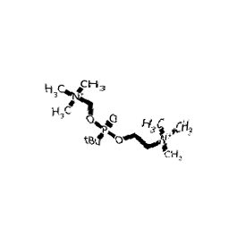 CC(C)(C)P(=O)(OCC[N+](C)(C)C)OC[N+](C)(C)C